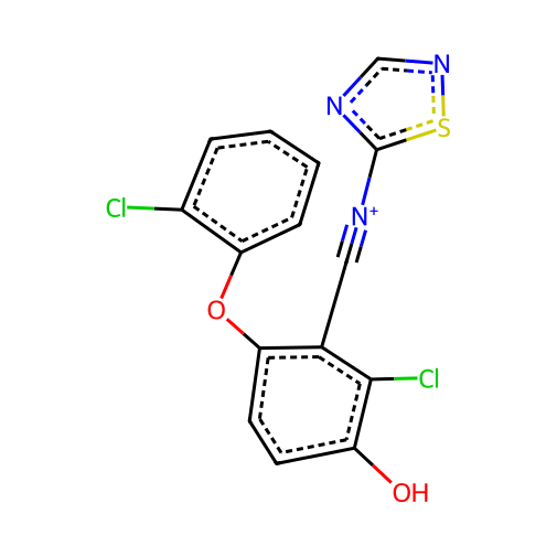 Oc1ccc(Oc2ccccc2Cl)c(C#[N+]c2ncns2)c1Cl